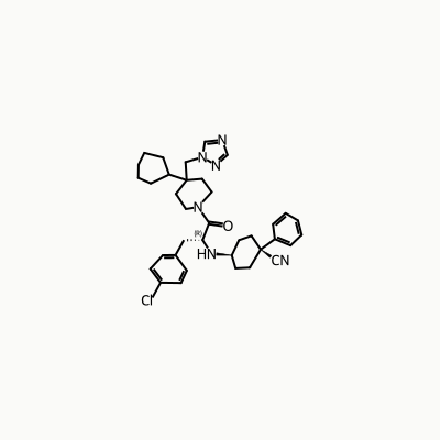 N#C[C@]1(c2ccccc2)CC[C@H](N[C@H](Cc2ccc(Cl)cc2)C(=O)N2CCC(Cn3cncn3)(C3CCCCC3)CC2)CC1